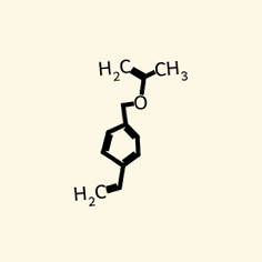 C=Cc1ccc(COC(=C)C)cc1